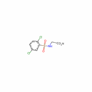 O=C(O)CNS(=O)(=O)c1cc(Cl)ccc1Cl